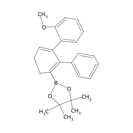 COc1ccccc1C1=CC[CH]C(B2OC(C)(C)C(C)(C)O2)=C1c1ccccc1